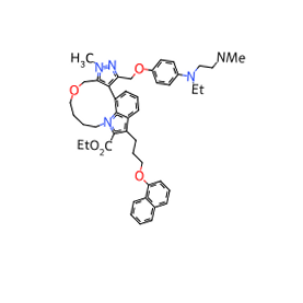 CCOC(=O)c1c(CCCOc2cccc3ccccc23)c2cccc3c2n1CCCCOCc1c-3c(COc2ccc(N(CC)CCNC)cc2)nn1C